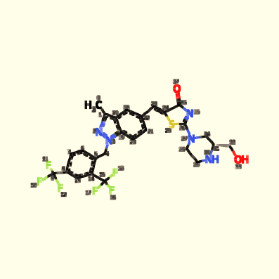 Cc1nn(Cc2ccc(C(F)(F)F)cc2C(F)(F)F)c2ccc(/C=C3\SC(N4CCN[C@@H](CO)C4)=NC3=O)cc12